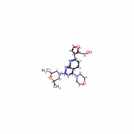 CC1CN(c2nc(N3CCOCC3)c3ccc(-c4ccoc4CO)nc3n2)CC(C)O1